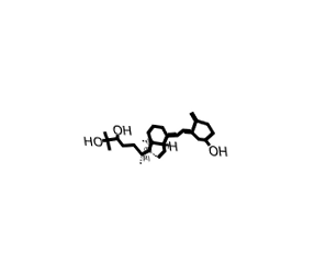 C=C1CCC(O)CC1=CC=C1CCC[C@]2(C)[C@@H]([C@H](C)CCC(O)C(C)(C)O)CC[C@@H]12